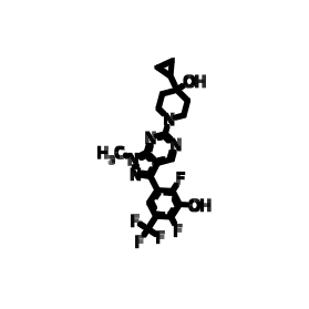 Cn1nc(-c2cc(C(F)(F)F)c(F)c(O)c2F)c2cnc(N3CCC(O)(C4CC4)CC3)nc21